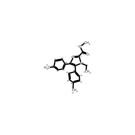 CCn1c(C(=O)OC)nc(-c2ccc(C)cc2)c1-c1ccc(C)cc1